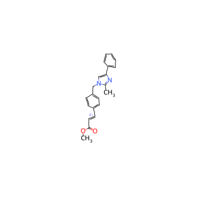 COC(=O)/C=C/c1ccc(Cn2cc(-c3ccccc3)nc2C)cc1